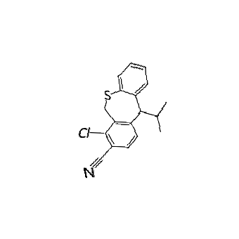 CC(C)C1c2ccccc2SCc2c1ccc(C#N)c2Cl